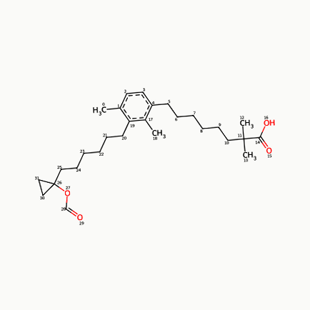 Cc1ccc(CCCCCCC(C)(C)C(=O)O)c(C)c1CCCCCCC1(OC=O)CC1